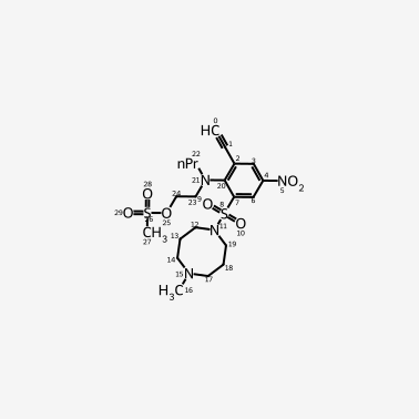 C#Cc1cc([N+](=O)[O-])cc(S(=O)(=O)N2CCCN(C)CCC2)c1N(CCC)CCOS(C)(=O)=O